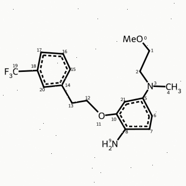 COCCN(C)c1ccc(N)c(OCCc2cccc(C(F)(F)F)c2)c1